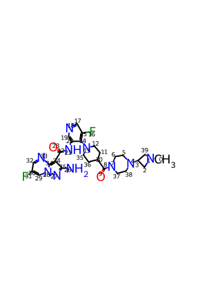 CN1CC(N2CCN(C(=O)C3CCN(c4c(F)cncc4NC(=O)c4c(N)nn5cc(F)cnc45)CC3)CC2)C1